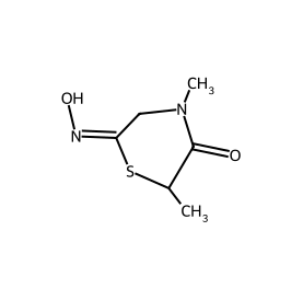 CC1SC(=NO)CN(C)C1=O